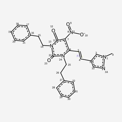 Cn1cc(/C=C/c2c([N+](=O)[O-])c(=O)n(CCc3ccccc3)c(=O)n2CCc2ccccc2)cn1